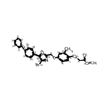 COC(=O)COc1ccc(OCc2nc(Br)c(-c3ccc(-c4ccccc4)cc3)o2)cc1C